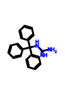 N=C(N)NC(c1ccccc1)(c1ccccc1)c1ccccc1